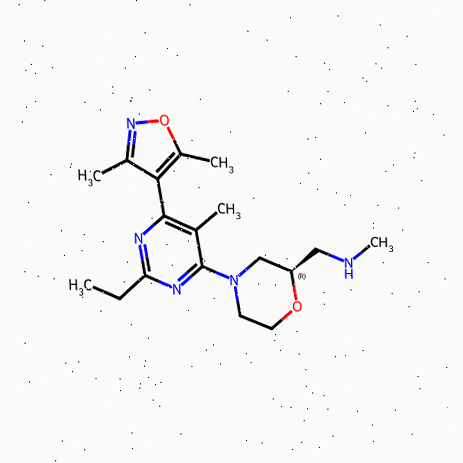 CCc1nc(-c2c(C)noc2C)c(C)c(N2CCO[C@H](CNC)C2)n1